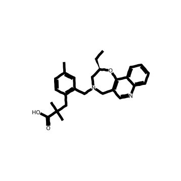 CC[C@@H]1CN(Cc2cc(C)ccc2CC(C)(C)C(=O)O)Cc2cnc3ccccc3c2O1